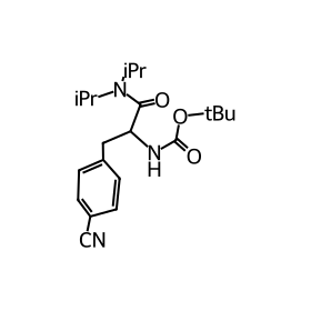 CC(C)N(C(=O)C(Cc1ccc(C#N)cc1)NC(=O)OC(C)(C)C)C(C)C